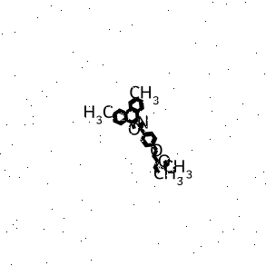 CCC(COc1ccc(-c2nc3c4ccc(C)cc4c4cc(C)ccc4c3o2)cc1)OC